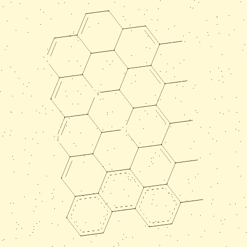 CC1=CC2CC=C3C=NC4=CC5=NC6=Cc7cccc8c7c7c9c%10c(c(C)ccc%108)C(C)=C8C(C)=C%10C(C)=C1C1C2C3C4N2C5C(C67)N(C89)C%10C12